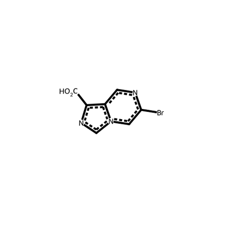 O=C(O)c1ncn2cc(Br)ncc12